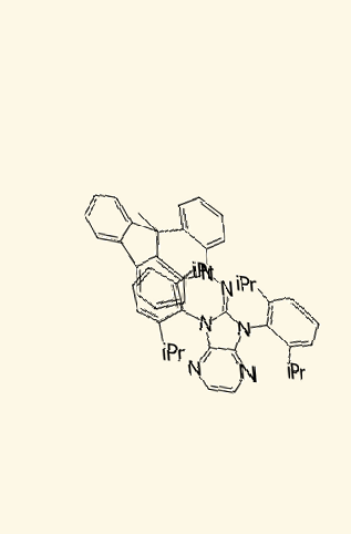 CC(C)c1cccc(C(C)C)c1-n1c(=NN2c3ccccc3C3(C)c4ccccc4-c4cccc2c43)n(-c2c(C(C)C)cccc2C(C)C)c2nccnc21